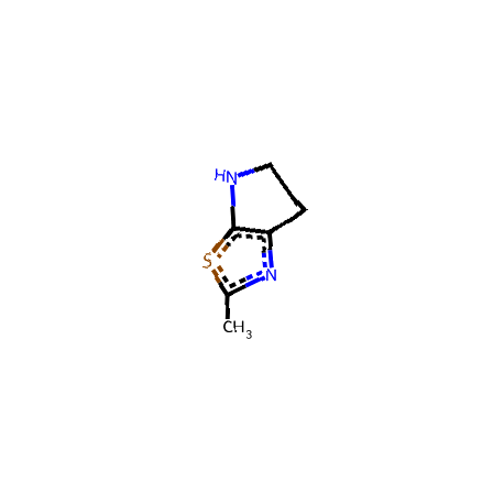 Cc1nc2c(s1)NCC2